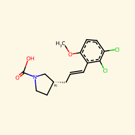 COc1ccc(Cl)c(Cl)c1C=CC[C@@H]1CCN(C(=O)O)C1